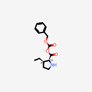 CC[C@@H]1CCN[C@@H]1C(=O)OC(=O)OCc1ccccc1